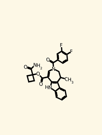 CC1CN(C(=O)c2ccc(F)c(F)c2)C=C(C(=O)OC2(C(N)=O)CCC2)c2[nH]c3ccccc3c21